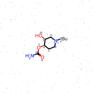 CC(C)(C)N1CC[C@@H](OC(N)=O)[C@@H](O)C1